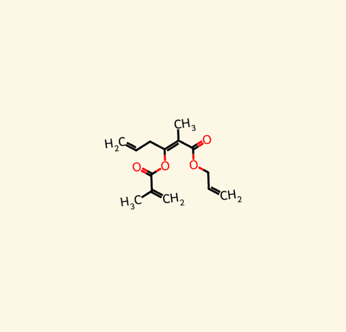 C=CCOC(=O)C(C)=C(CC=C)OC(=O)C(=C)C